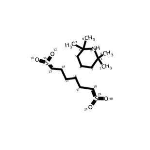 CC1(C)[CH][CH]CC(C)(C)N1.O=S(=O)=CCCCCC=S(=O)=O